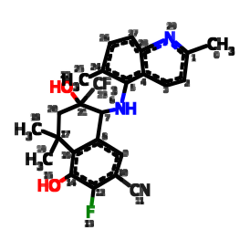 Cc1ccc2c(NC3c4cc(C#N)c(F)c(O)c4C(C)(C)CC3(O)C(F)(F)F)c(C)ccc2n1